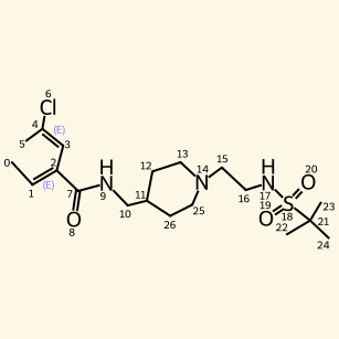 C/C=C(\C=C(/C)Cl)C(=O)NCC1CCN(CCNS(=O)(=O)C(C)(C)C)CC1